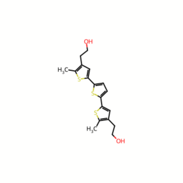 Cc1sc(-c2ccc(-c3cc(CCO)c(C)s3)s2)cc1CCO